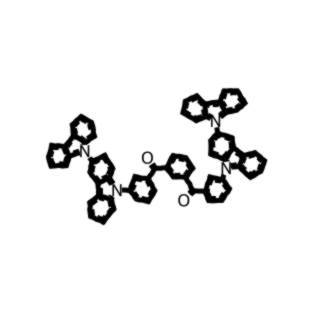 O=C(c1cccc(C(=O)c2cccc(-n3c4ccccc4c4cc(-n5c6ccccc6c6ccccc65)ccc43)c2)c1)c1cccc(-n2c3ccccc3c3cc(-n4c5ccccc5c5ccccc54)ccc32)c1